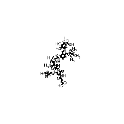 CC(C)[C@H](NC(=O)CN1C(=O)[C@@H](NC(=O)CCC(=O)O)C[C@H]1COCCS(=O)(=O)O)C(=O)N[C@@H](C)C(=O)Nc1ccc(COC(=O)C(C)(C)C)c(CC[C@@H]2O[C@H](C(=O)O)[C@@H](O)[C@H](O)[C@H]2O)c1